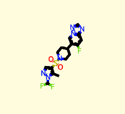 Cc1c(S(=O)(=O)N2CCC(c3cn4ncnc4cc3F)CC2)cnn1C(F)F